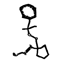 CCC(C)N=NC1(OOC(C)(C)c2ccccc2)CCCC1